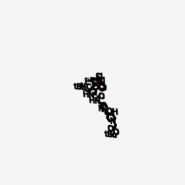 CC(C)(C)C[C@@H]1N[C@@H](C(=O)Nc2ccn(CC3(O)CCN(CC(=O)OC(C)(C)C)CC3)n2)[C@H](c2cccc(Cl)c2F)[C@@]1(C#N)c1ccc(Cl)cc1F